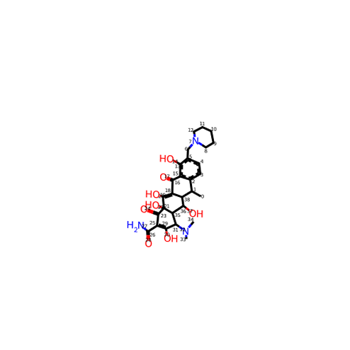 CC1c2ccc(CN3CCCCC3)c(O)c2C(=O)C2=C(O)C3(O)C(=O)C(C(N)=O)=C(O)C(N(C)C)C3C(O)C21